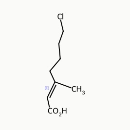 C/C(=C\C(=O)O)CCCCCl